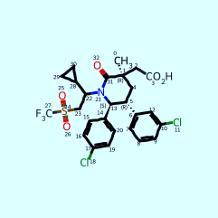 C[C@]1(CC(=O)O)C[C@H](c2cccc(Cl)c2)[C@@H](c2ccc(Cl)cc2)N(C(CS(=O)(=O)C(F)(F)F)C2CC2)C1=O